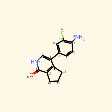 Nc1ccc(-c2c[nH]c(=O)c3c2CCC3)cc1F